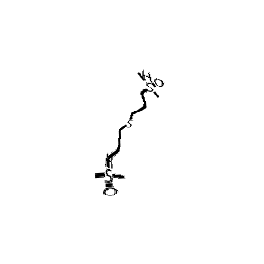 C[SH](C)(=O)CCCSCCC[SH](C)(C)=O